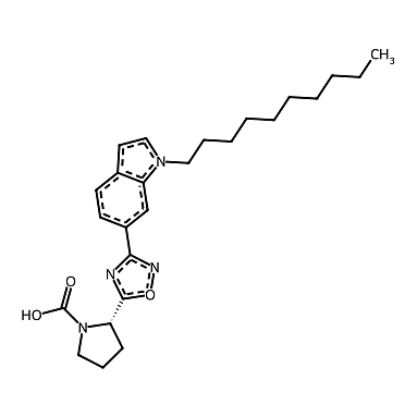 CCCCCCCCCCn1ccc2ccc(-c3noc([C@@H]4CCCN4C(=O)O)n3)cc21